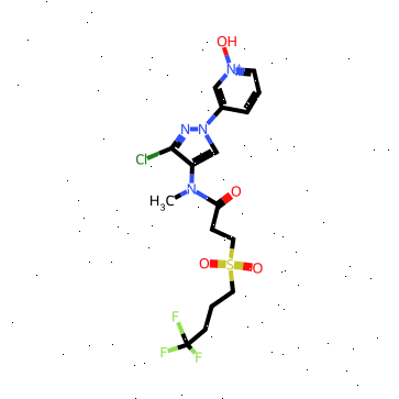 CN(C(=O)CCS(=O)(=O)CCCC(F)(F)F)c1cn(-c2ccc[n+](O)c2)nc1Cl